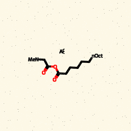 CCCCCCCCCCCCCC(=O)OC(=O)CNC.[Al]